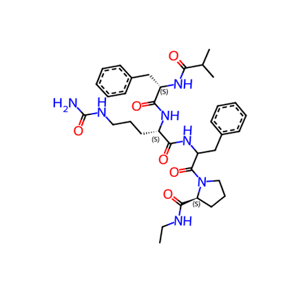 CCNC(=O)[C@@H]1CCCN1C(=O)C(Cc1ccccc1)NC(=O)[C@H](CCCNC(N)=O)NC(=O)[C@H](Cc1ccccc1)NC(=O)C(C)C